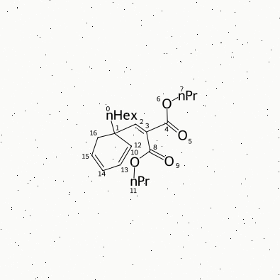 CCCCCCC1(C=C(C(=O)OCCC)C(=O)OCCC)C=CC=CC1